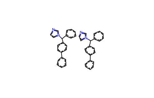 c1ccc(-c2ccc(C(c3ccccc3)n3ccnc3)cc2)cc1.c1ccc(-c2ccc(C(c3ccccc3)n3ccnc3)cc2)cc1